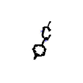 C=C(C)/C=C\C(=C/C)c1ccc(C)cc1